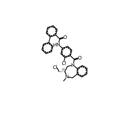 CN1Cc2ccccc2N(C(=O)c2ccc(NC(=O)c3ccccc3-c3ccccc3)cc2Cl)C[C@H]1CCl